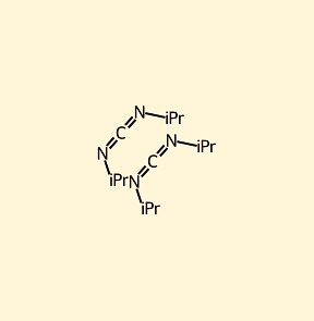 CC(C)N=C=NC(C)C.CC(C)N=C=NC(C)C